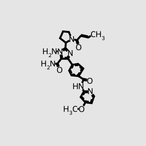 CC=CC(=O)N1CCCC1c1nc(-c2ccc(C(=O)Nc3cc(OC)ccn3)cc2)c(C(N)=O)n1N